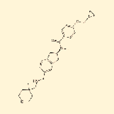 CN(C(=O)c1ccc(OCC2CC2)cc1)[C@@H]1Cc2ccc(CNCC3(C)CCOCC3)cc2C1